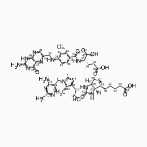 Cc1ncc(C[n+]2csc(CCO)c2C)c(N)n1.Nc1nc(=O)c2nc(CNc3ccc(C(=O)N[C@@H](CCC(=O)O)C(=O)O)cc3)cnc2[nH]1.O=C(O)CCCC[C@@H]1SC[C@@H]2NC(=O)N[C@@H]21.[Cl-]